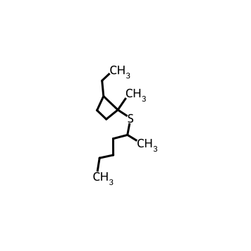 CCCCC(C)SC1(C)CCC1CC